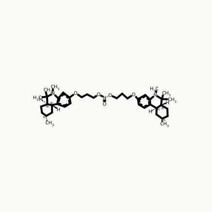 C[C@@H]1CC[C@@H]2[C@@H](C1)c1ccc(OCCCO[N+](=O)OCCCOc3ccc4c(c3)N(C)C(C)(C)[C@@H]3CC[C@@H](C)C[C@@H]43)cc1N(C)C2(C)C